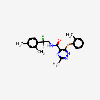 Cc1ccc(C(F)(F)CNC(=O)c2nc(C)nnc2Sc2ccccc2C)c(C)c1